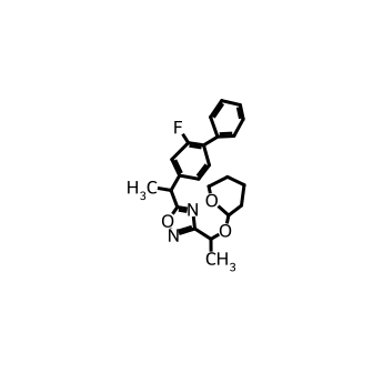 CC(OC1CCCCO1)c1noc(C(C)c2ccc(-c3ccccc3)c(F)c2)n1